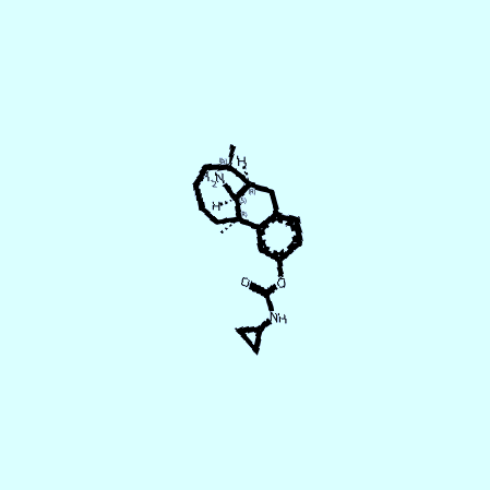 C[C@@H]1CCCC[C@]2(C)c3cc(OC(=O)NC4CC4)ccc3C[C@H]1[C@@H]2N